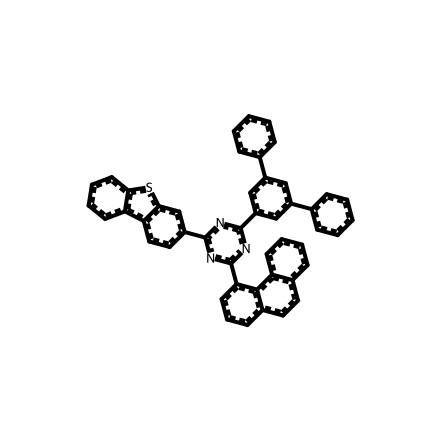 c1ccc(-c2cc(-c3ccccc3)cc(-c3nc(-c4ccc5c(c4)sc4ccccc45)nc(-c4cccc5ccc6ccccc6c45)n3)c2)cc1